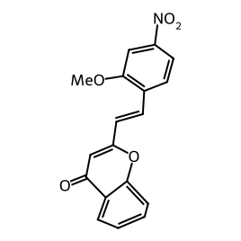 COc1cc([N+](=O)[O-])ccc1C=Cc1cc(=O)c2ccccc2o1